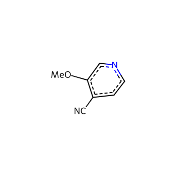 COc1cnccc1C#N